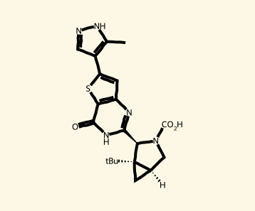 Cc1[nH]ncc1-c1cc2nc([C@H]3N(C(=O)O)C[C@H]4C[C@]43C(C)(C)C)[nH]c(=O)c2s1